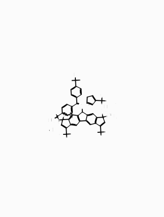 CC(C)(C)C1=CC[C]([Zr+2](=[C](c2ccc(C(F)(F)F)cc2)c2ccc(C(F)(F)F)cc2)[CH]2c3cc4c(cc3-c3cc5c(cc32)C(C)(C)C=C5C(C)(C)C)C(C(C)(C)C)=CC4(C)C)=C1.[Cl-].[Cl-]